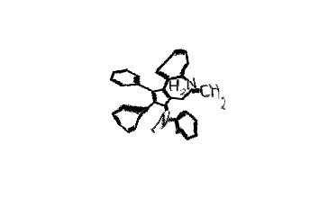 C=CCC1=C(c2ccccc2N)C(c2ccccc2)=C(c2ccccc2)C1=Nc1ccccc1